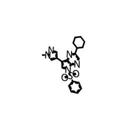 Cn1cc(-c2cn(S(=O)(=O)c3ccccc3)c3ncc(C4CCCCC4)nc23)cn1